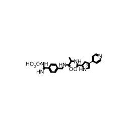 CC(NC(=O)C1C[C@@H](c2ccncc2)CN1)C(=O)NCc1ccc(C(=N)NC(=O)O)cc1